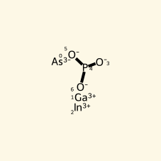 [As-3].[Ga+3].[In+3].[O-]P([O-])[O-]